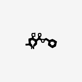 Cc1cc(Cl)c(C(=O)OCc2ccccc2)cn1